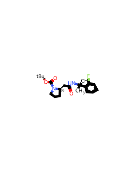 CC(C)(C)OC(=O)N1CCC[C@@H]1CC(=O)NC(C)(C)c1ccccc1F